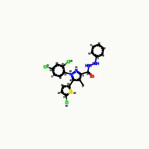 Cc1c(C(=O)NNc2ccccc2)nn(-c2ccc(Cl)cc2Cl)c1-c1ccc(Cl)s1